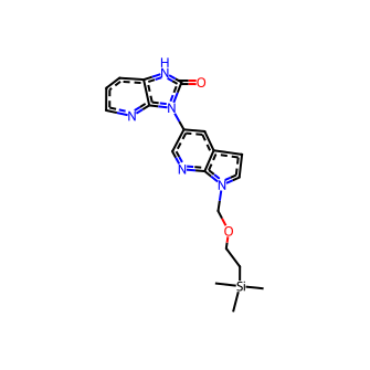 C[Si](C)(C)CCOCn1ccc2cc(-n3c(=O)[nH]c4cccnc43)cnc21